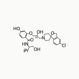 CC(C)C(CO)NC(=O)c1ccc(O)cc1OC[C@@H](O)CN1CCC2(CC1)OCc1cc(Cl)ccc12